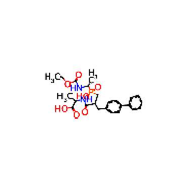 CCOC(=O)NC(C)P(=O)(O)CC(Cc1ccc(-c2ccccc2)cc1)C(=O)NC(C)C(=O)O